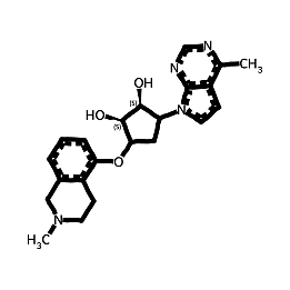 Cc1ncnc2c1ccn2C1CC(Oc2cccc3c2CCN(C)C3)[C@@H](O)[C@H]1O